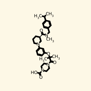 CC(C)c1ccc(CN(C)C(=O)[C@@H]2CCCN(c3cccc(OC(C)(C)C(=O)N4CCN(C(=O)O)CC4)c3)C2)cc1